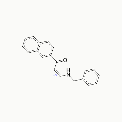 O=C(/C=C\NCc1ccccc1)c1ccc2ccccc2c1